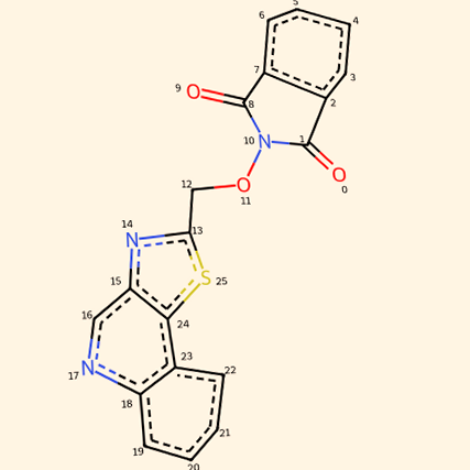 O=C1c2ccccc2C(=O)N1OCc1nc2cnc3ccccc3c2s1